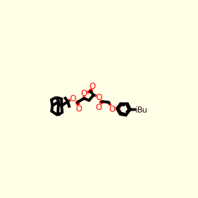 CCC(C)c1ccc(OCC(=O)OC2CC(C(=O)OC(C)(C)C34CC5CC(CC(C5)C3)C4)OC2=O)cc1